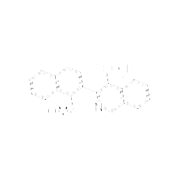 COc1c(-c2ncc3ccccc3c2C(=O)O)ccc2ccccc12